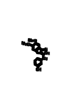 COc1cc2c(cc1OC)-c1n[nH]c(Nc3cccc(O)c3)c1C2